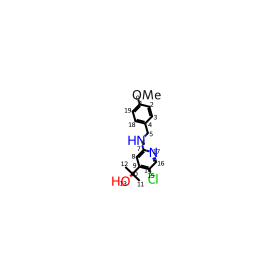 COc1ccc(CNc2cc(C(C)(C)O)c(Cl)cn2)cc1